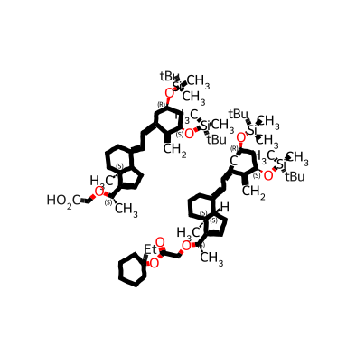 C=C1C(=CC=C2CCC[C@]3(C)C([C@H](C)OCC(=O)O)=CCC23)C[C@@H](O[Si](C)(C)C(C)(C)C)C[C@@H]1O[Si](C)(C)C(C)(C)C.C=C1C(=CC=C2CCC[C@]3(C)C([C@H](C)OCC(=O)OC4(CC)CCCCC4)=CC[C@@H]23)C[C@@H](O[Si](C)(C)C(C)(C)C)C[C@@H]1O[Si](C)(C)C(C)(C)C